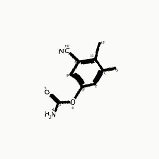 Cc1cc(OC(N)=O)cc(C#N)c1C